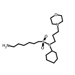 NCCCCCCS(=O)(=O)N(CCCN1CCOCC1)C1CCCCC1